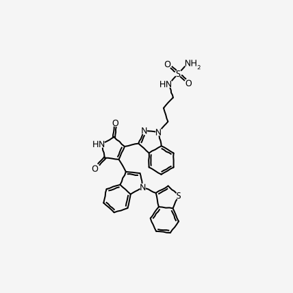 NS(=O)(=O)NCCCn1nc(C2=C(c3cn(-c4csc5ccccc45)c4ccccc34)C(=O)NC2=O)c2ccccc21